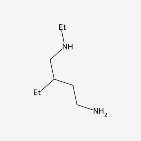 CCNCC(CC)CCN